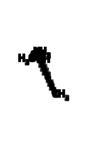 CCCCCCCCC=CCCCCCCCCNC(CCN)CC(C)O